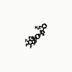 Cc1ccccc1-c1csc(N2CCN(S(=O)(=O)c3c(F)c(F)c(F)c(F)c3F)CC2)n1